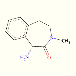 CN1CCc2ccccc2[C@@H](N)C1=O